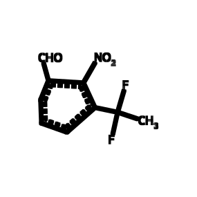 CC(F)(F)c1cccc(C=O)c1[N+](=O)[O-]